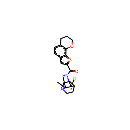 CC1(C)[C@H](NC(=O)c2cc3ccc4c(c3s2)OCCC4)C2CCN1CC2